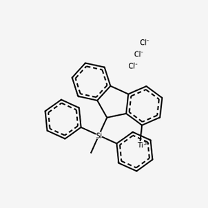 C[Si](c1ccccc1)(c1ccccc1)C1c2ccccc2-c2ccc[c]([Ti+3])c21.[Cl-].[Cl-].[Cl-]